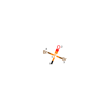 CP(=O)(Br)Br